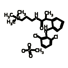 CC(C(=O)NCCC[N+](C)(C)C)c1ccccc1Nc1c(Cl)cccc1Cl.CS(=O)(=O)[O-]